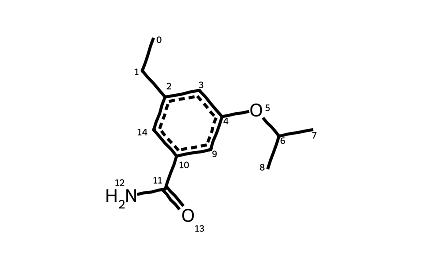 CCc1cc(OC(C)C)cc(C(N)=O)c1